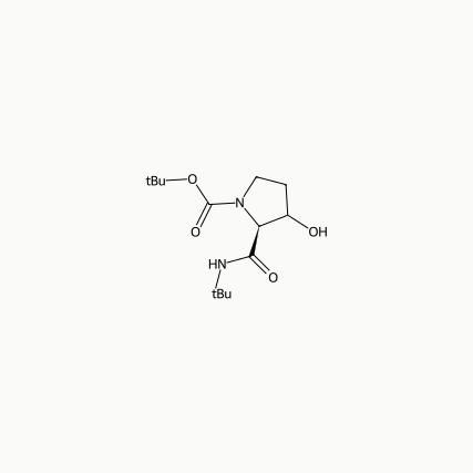 CC(C)(C)NC(=O)[C@@H]1C(O)CCN1C(=O)OC(C)(C)C